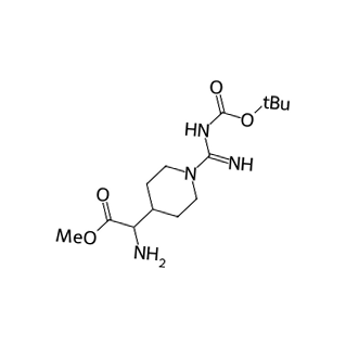 COC(=O)C(N)C1CCN(C(=N)NC(=O)OC(C)(C)C)CC1